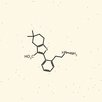 CC1(C)CCc2sc(-c3ccccc3CCNN)c(C(=O)O)c2C1